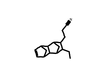 CCC1C(CCC#N)C2CC1C1C3C=CC(C3)C21